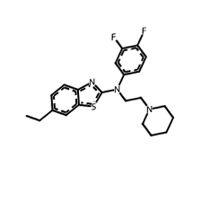 CCc1ccc2nc(N(CCN3CCCCC3)c3ccc(F)c(F)c3)sc2c1